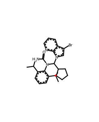 CC(C)c1cccc(C(C)C)c1N(C(N)=O)C(C1CCCC1)n1cc(Br)c2cccnc21